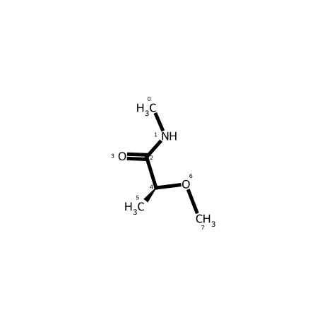 CNC(=O)[C@H](C)OC